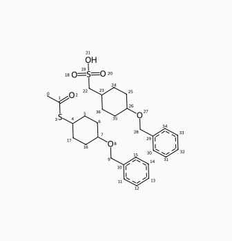 CC(=O)SC1CCC(OCc2ccccc2)CC1.O=S(=O)(O)CC1CCC(OCc2ccccc2)CC1